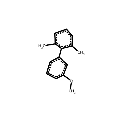 COc1cccc(-c2c(C)cccc2C)c1